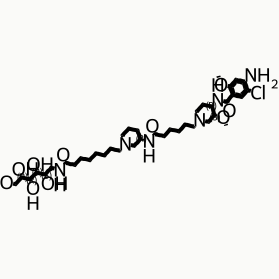 COc1cc(N)c(Cl)cc1C(=O)N[C@@H]1CCN(CCCCCC(=O)N[C@@H]2CCCN(CCCCCCCC(=O)NC[C@H](O)[C@@H](O)[C@H](O)[C@H](O)CO)C2)C[C@@H]1OC